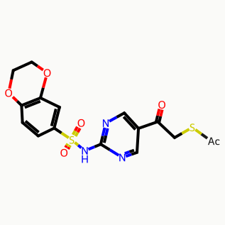 CC(=O)SCC(=O)c1cnc(NS(=O)(=O)c2ccc3c(c2)OCCO3)nc1